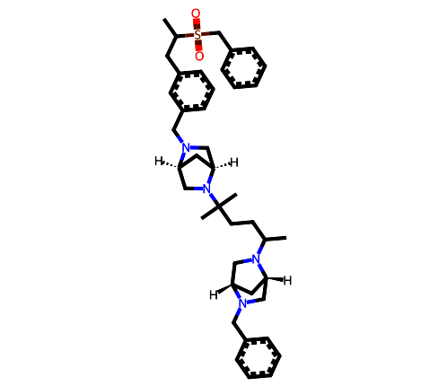 CC(CCC(C)(C)N1C[C@@H]2C[C@H]1CN2Cc1cccc(CC(C)S(=O)(=O)Cc2ccccc2)c1)N1C[C@@H]2C[C@H]1CN2Cc1ccccc1